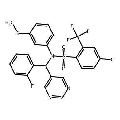 CSc1cccc(N(C(c2cncnc2)c2ccccc2F)S(=O)(=O)c2ccc(Cl)cc2C(F)(F)F)c1